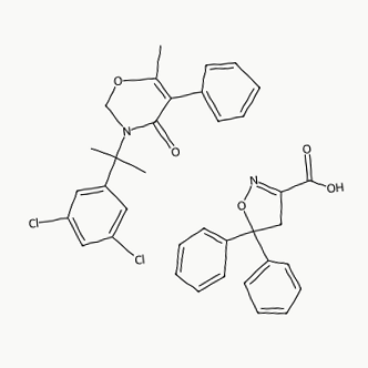 CC1=C(c2ccccc2)C(=O)N(C(C)(C)c2cc(Cl)cc(Cl)c2)CO1.O=C(O)C1=NOC(c2ccccc2)(c2ccccc2)C1